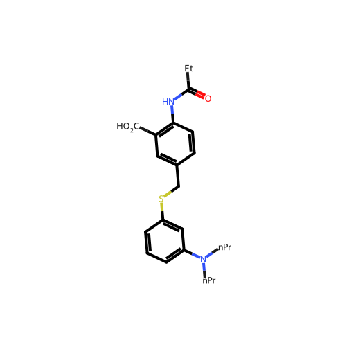 CCCN(CCC)c1cccc(SCc2ccc(NC(=O)CC)c(C(=O)O)c2)c1